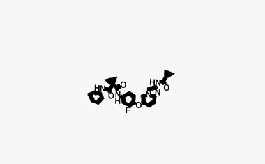 O=C(Nc1cn2cc(Oc3ccc(NC(=O)C4(C(=O)Nc5ccccc5)CC4)cc3F)ccc2n1)C1CC1